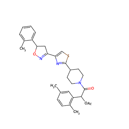 CC(=O)OC(C(=O)N1CCC(c2nc(C3=NOC(c4ccccc4C)C3)cs2)CC1)c1cc(C)ccc1C